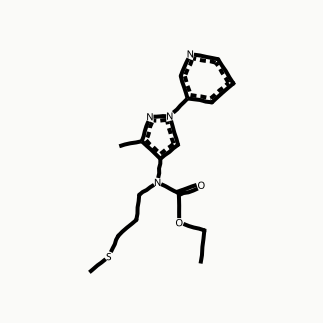 CCOC(=O)N(CCCSC)c1cn(-c2cccnc2)nc1C